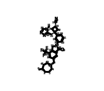 CC1CCCN(Cc2cc3c(c(C(F)(F)F)c2)CN(c2cccc([C@]4(Cc5nncn5C)C[C@@H](C#N)C4)c2)C3=O)CC1